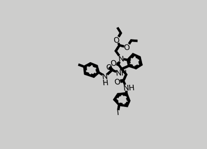 CCOC(CN1C(=O)C(CC(=O)Nc2ccc(I)cc2)(NC(=O)Nc2ccc(C)cc2)c2ccccc21)OCC